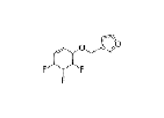 FC1C=CC(OCc2ccoc2)C(F)C1F